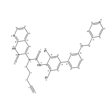 C#CCCCN(C(=O)Nc1c(C(C)C)cc(-c2cccc(OCc3ccncc3)c2)cc1C(C)C)c1cc2cccnc2[nH]c1=O